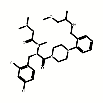 COCC(C)NCc1ccccc1N1CCN(C(=O)[C@@H](Cc2ccc(Cl)cc2Cl)N(C)C(=O)CN(C)C)CC1